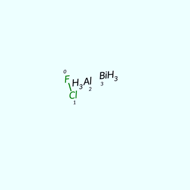 FCl.[AlH3].[BiH3]